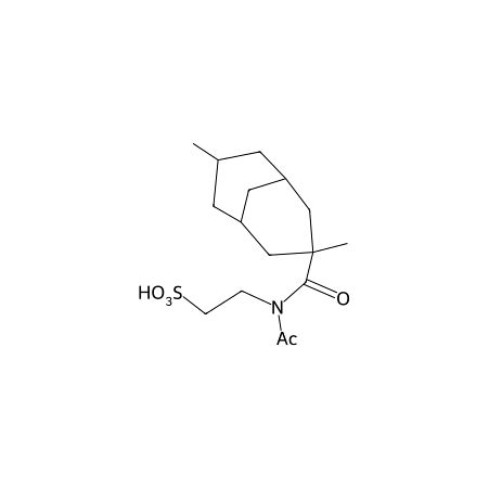 CC(=O)N(CCS(=O)(=O)O)C(=O)C1(C)CC2CC(C)CC(C2)C1